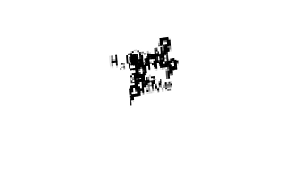 CNC(=O)c1c(-c2ccc(F)cc2)oc2cc(N(C)S(C)(=O)=O)c(-c3ccc4nc(CN5CCCC5)n5c6cccc(F)c6cc5c4n3)cc12